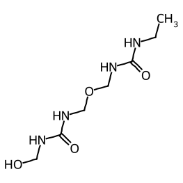 CCNC(=O)NCOCNC(=O)NCO